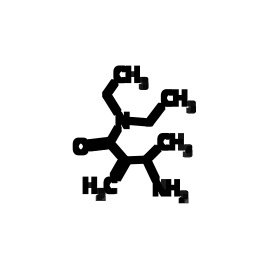 C=C(C(=O)N(CC)CC)C(C)N